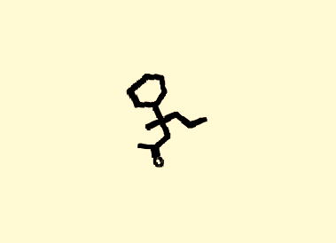 CCCC(C)(CC(C)=O)C1CCCCC1